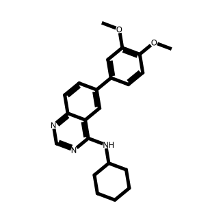 COc1ccc(-c2ccc3ncnc(NC4CCCCC4)c3c2)cc1OC